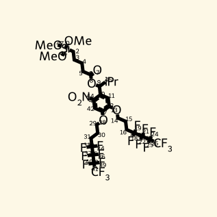 CO[Si](CCCCC(=O)OC(c1cc(OCCCC(F)(F)C(F)(F)C(F)(F)C(F)(F)F)c(OCCCC(F)(F)C(F)(F)C(F)(F)C(F)(F)F)cc1[N+](=O)[O-])C(C)C)(OC)OC